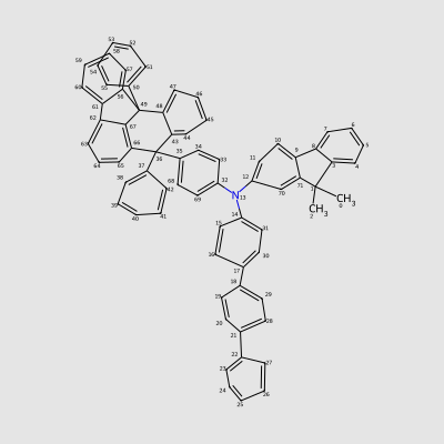 CC1(C)c2ccccc2-c2ccc(N(c3ccc(-c4ccc(-c5ccccc5)cc4)cc3)c3ccc(C4(c5ccccc5)c5ccccc5C5(c6ccccc6)c6ccccc6-c6cccc4c65)cc3)cc21